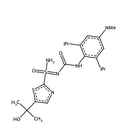 CNc1cc(C(C)C)c(NC(=O)N=S(N)(=O)c2ncc(C(C)(C)O)s2)c(C(C)C)c1